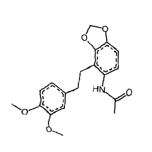 COc1ccc(CCc2c(NC(C)=O)ccc3c2OCO3)cc1OC